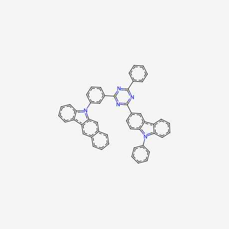 c1ccc(-c2nc(-c3cccc(-n4c5ccccc5c5cc6ccccc6cc54)c3)nc(-c3ccc4c(c3)c3ccccc3n4-c3ccccc3)n2)cc1